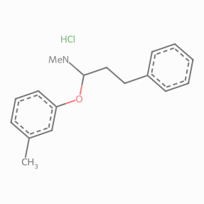 CNC(CCc1ccccc1)Oc1cccc(C)c1.Cl